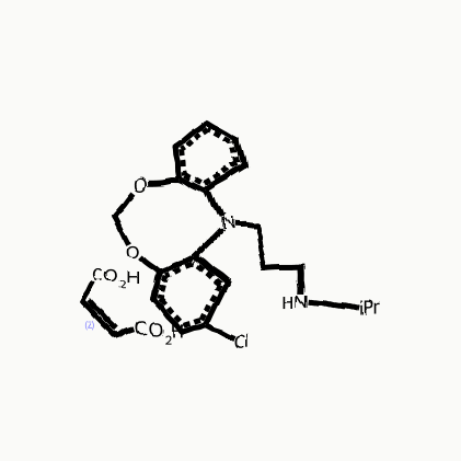 CC(C)NCCCN1c2ccccc2OCOc2ccc(Cl)cc21.O=C(O)/C=C\C(=O)O